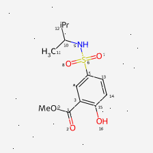 COC(=O)c1cc(S(=O)(=O)NC(C)C(C)C)ccc1O